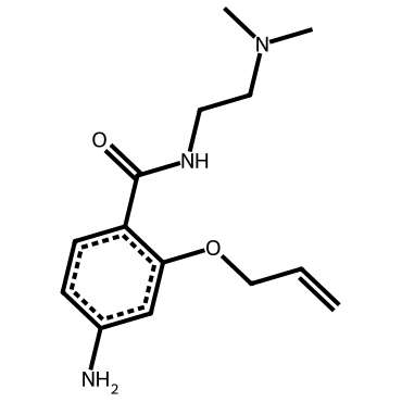 C=CCOc1cc(N)ccc1C(=O)NCCN(C)C